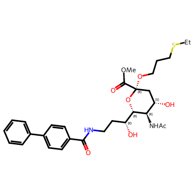 CCSCCCO[C@]1(C(=O)OC)C[C@H](O)[C@@H](NC(C)=O)[C@H]([C@H](O)CCNC(=O)c2ccc(-c3ccccc3)cc2)O1